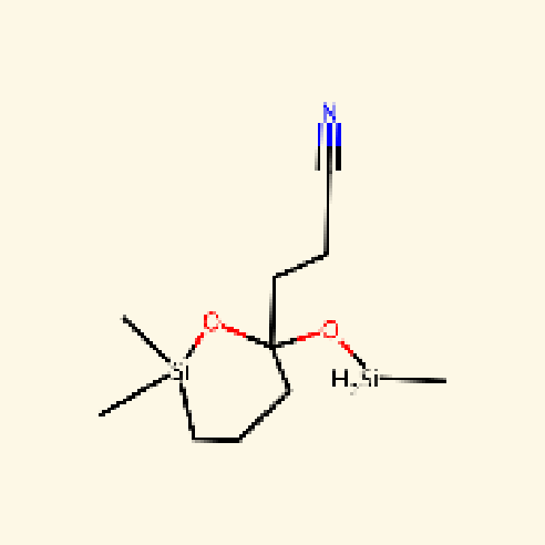 C[SiH2]OC1(CCC#N)CCC[Si](C)(C)O1